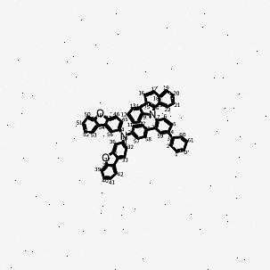 c1ccc(-c2ccc(-n3c4ccccc4c4ccc5ccccc5c43)c(-c3ccc(N(c4ccc5c(c4)oc4ccccc45)c4ccc5oc6ccccc6c5c4)cc3)c2)cc1